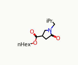 CCCCCCOC(=O)C1CC(=O)N(CC(C)C)C1